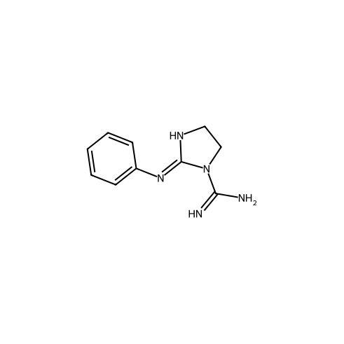 N=C(N)N1CCNC1=Nc1ccccc1